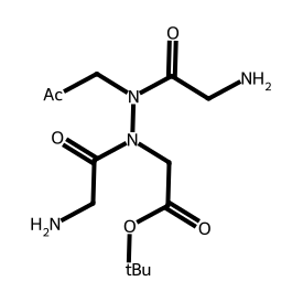 CC(=O)CN(C(=O)CN)N(CC(=O)OC(C)(C)C)C(=O)CN